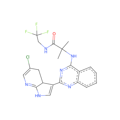 CC(C)(Nc1nc(C2=CNC3=NC=C(Cl)CC23)nc2ccccc12)C(=O)NCC(F)(F)F